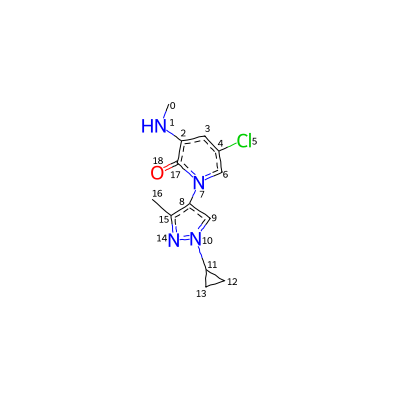 CNc1cc(Cl)cn(-c2cn(C3CC3)nc2C)c1=O